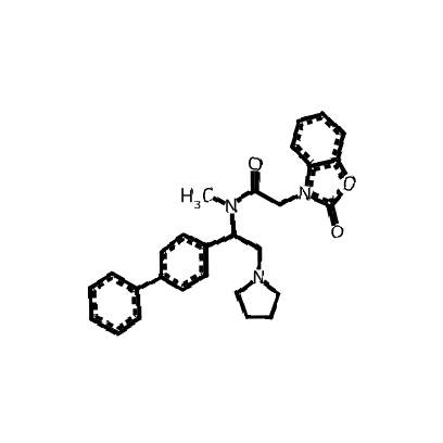 CN(C(=O)Cn1c(=O)oc2ccccc21)C(CN1CCCC1)c1ccc(-c2ccccc2)cc1